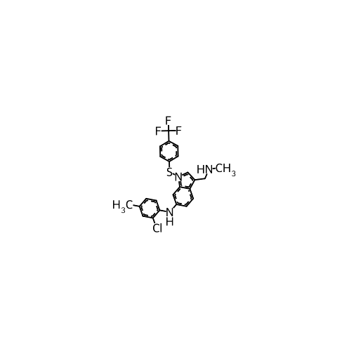 CNCc1cn(Sc2ccc(C(F)(F)F)cc2)c2cc(Nc3ccc(C)cc3Cl)ccc12